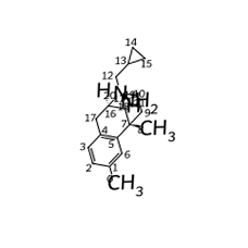 Cc1ccc2c(c1)[C@@]1(C)CCN(CC3CC3)[C@H](C2)[C@H]1N